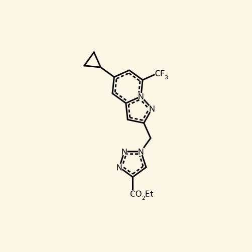 CCOC(=O)c1cn(Cc2cc3cc(C4CC4)cc(C(F)(F)F)n3n2)nn1